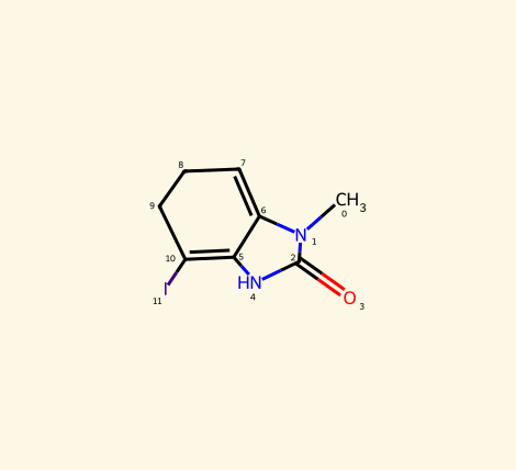 Cn1c(=O)[nH]c2c1=CCCC=2I